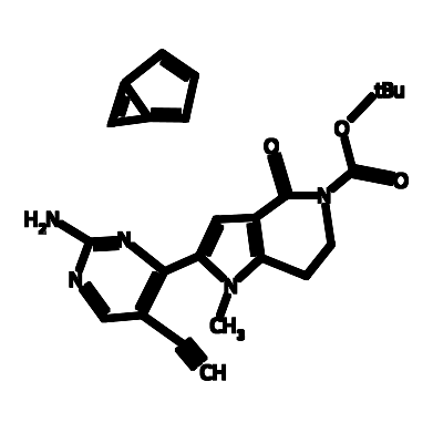 C#Cc1cnc(N)nc1-c1cc2c(n1C)CCN(C(=O)OC(C)(C)C)C2=O.c1cc2cc-2c1